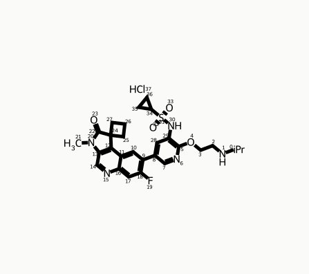 CC(C)NCCOc1ncc(-c2cc3c4c(cnc3cc2F)N(C)C(=O)C42CCC2)cc1NS(=O)(=O)C1CC1.Cl